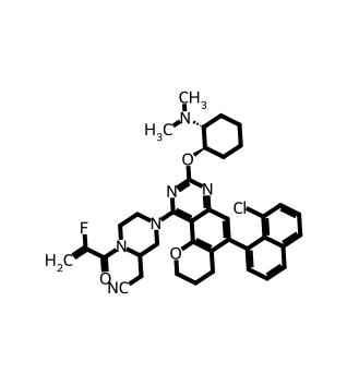 C=C(F)C(=O)N1CCN(c2nc(O[C@@H]3CCCC[C@H]3N(C)C)nc3cc(-c4cccc5cccc(Cl)c45)c4c(c23)OCCC4)CC1CC#N